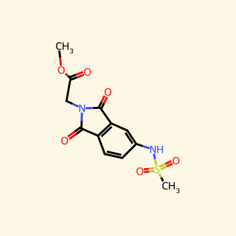 COC(=O)CN1C(=O)c2ccc(NS(C)(=O)=O)cc2C1=O